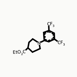 CCOC(=O)C1CCN(c2cc(C(F)(F)F)cc(C(F)(F)F)c2)CC1